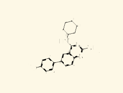 CC(C)Oc1ccc(-c2ccc3nc(N)nc(NC4CCCCC4)c3c2)cc1